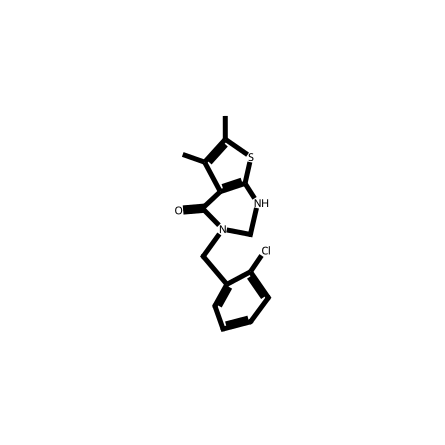 Cc1sc2c(c1C)C(=O)N(Cc1ccccc1Cl)CN2